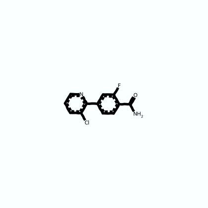 NC(=O)c1ccc(-c2ncccc2Cl)cc1F